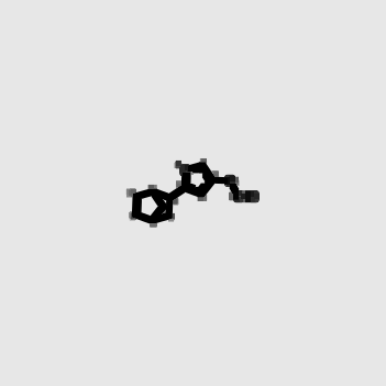 O=COc1coc(C2CC3C=CC2C3)c1